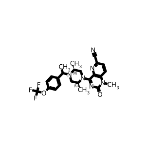 CC(c1ccc(OC(F)(F)F)cc1)N1C[C@H](C)N(c2nc(=O)n(C)c3ccc(C#N)nc23)C[C@H]1C